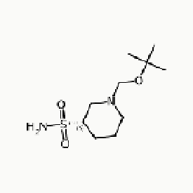 CC(C)(C)OCN1CCC[C@H](S(N)(=O)=O)C1